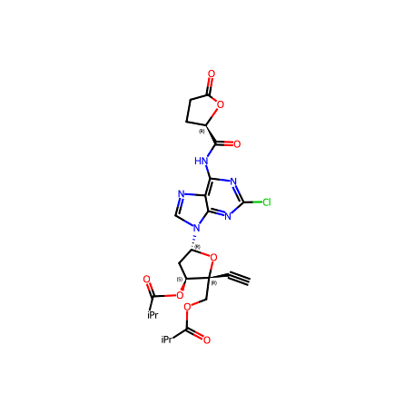 C#C[C@]1(COC(=O)C(C)C)O[C@@H](n2cnc3c(NC(=O)[C@H]4CCC(=O)O4)nc(Cl)nc32)C[C@@H]1OC(=O)C(C)C